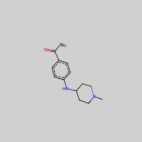 CN1CCC(Nc2ccc(C(=O)C(C)(C)C)cc2)CC1